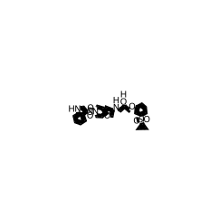 O=S(=O)(c1cccc(OCC(O)CNC2COC3(CCN(S(=O)(=O)c4c[nH]c5ccccc45)CC3)C2)c1)C1CC1